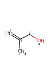 [CH]=C(C)CO